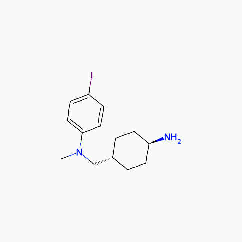 CN(C[C@H]1CC[C@H](N)CC1)c1ccc(I)cc1